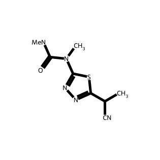 CNC(=O)N(C)c1nnc(C(C)C#N)s1